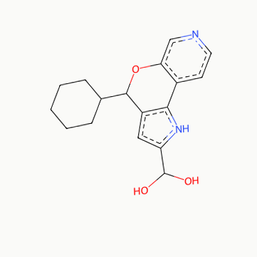 OC(O)c1cc2c([nH]1)-c1ccncc1OC2C1CCCCC1